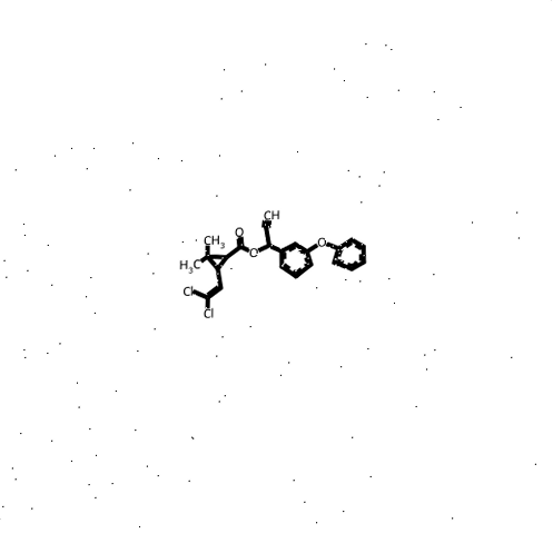 C#CC(OC(=O)C1C(C=C(Cl)Cl)C1(C)C)c1cccc(Oc2ccccc2)c1